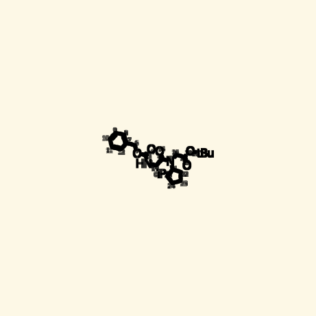 CC(C)[C@H](NC(=O)OCc1ccccc1)C(=O)N(CC(=O)OC(C)(C)C)C1CCCC1